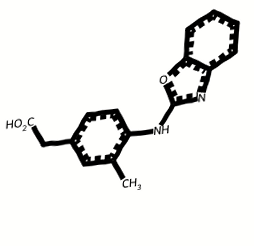 Cc1cc(CC(=O)O)ccc1Nc1nc2ccccc2o1